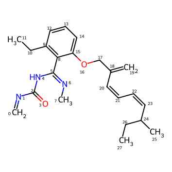 C=NC(=O)N/C(=N\C)c1c(CC)cccc1OCC(=C)/C=C\C=C/C(C)CC